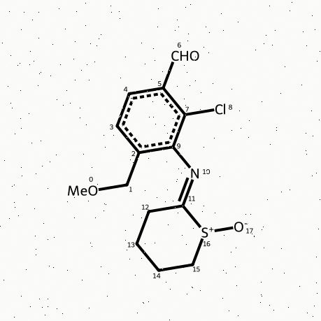 COCc1ccc(C=O)c(Cl)c1N=C1CCCC[S+]1[O-]